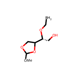 BCO[C@H](CO)C1COC(OC)O1